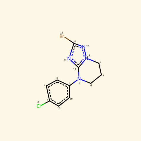 Clc1ccc(N2CCCn3nc(Br)nc32)cc1